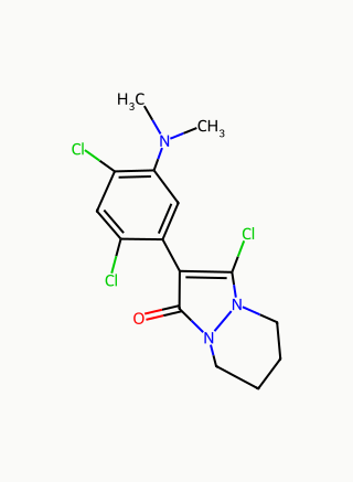 CN(C)c1cc(-c2c(Cl)n3n(c2=O)CCCC3)c(Cl)cc1Cl